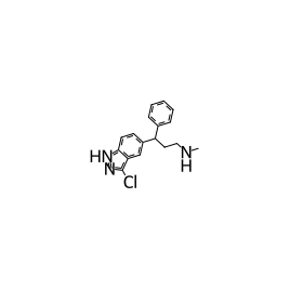 CNCCC(c1ccccc1)c1ccc2[nH]nc(Cl)c2c1